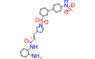 CS(=O)(=O)Nc1ccc(-c2cccc(S(=O)(=O)n3ccc(/C=C/C(=O)Nc4ccccc4N)c3)c2)cc1